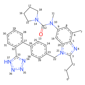 CCCc1nc2c(C)cc(N(C)C(=O)N3CCCC3)cc2n1Cc1ccc(-c2ccccc2-c2nnn[nH]2)cc1